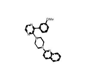 COc1cccc(-c2nccnc2N2CCN(c3ccc4ccccc4n3)CC2)c1